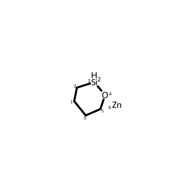 C1CC[SiH2]OC1.[Zn]